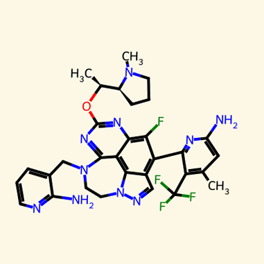 Cc1cc(N)nc(-c2c(F)c3nc(O[C@@H](C)[C@@H]4CCCN4C)nc4c3c3c2cnn3CCN4Cc2cccnc2N)c1C(F)(F)F